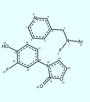 CC(=O)N(F)Cc1cccnc1.O=c1occn1-c1ccc(O)c(F)c1